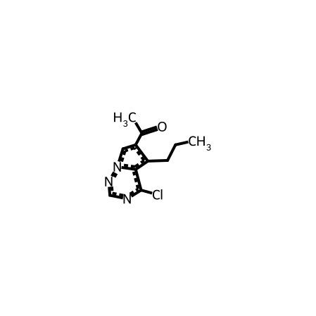 CCCc1c(C(C)=O)cn2ncnc(Cl)c12